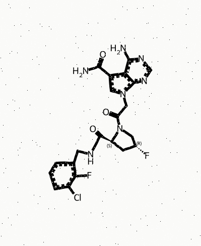 NC(=O)c1cn(CC(=O)N2C[C@H](F)C[C@H]2C(=O)NCc2cccc(Cl)c2F)c2ncnc(N)c12